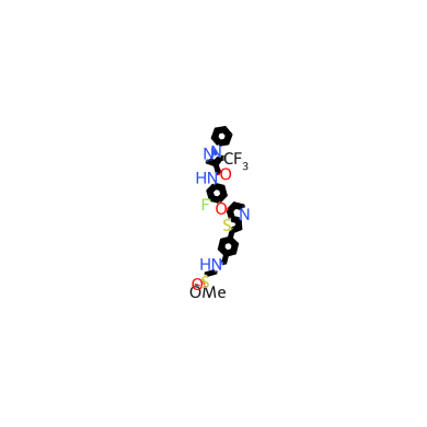 COOSCCNCc1ccc(-c2cc3nccc(Oc4ccc(NC(=O)c5cnn(-c6ccccc6)c5C(F)(F)F)cc4F)c3s2)cc1